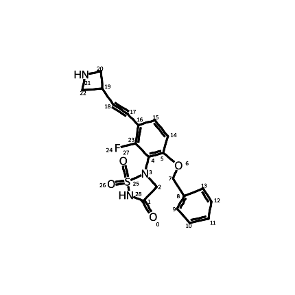 O=C1CN(c2c(OCc3ccccc3)ccc(C#CC3CNC3)c2F)S(=O)(=O)N1